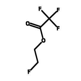 O=C(OCCF)C(F)(F)F